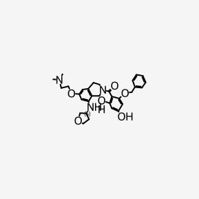 CN(C)CCOc1cc2c(c(N[C@H]3CCOC3)c1)CN(C(=O)c1c(O)cc(O)cc1OCc1ccccc1)CC2